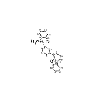 Cn1c(-c2cccc(-c3cccc4c3oc3ccccc34)c2)nc2ccccc21